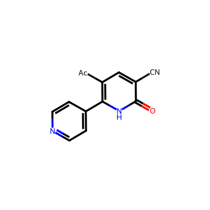 CC(=O)c1cc(C#N)c(=O)[nH]c1-c1ccncc1